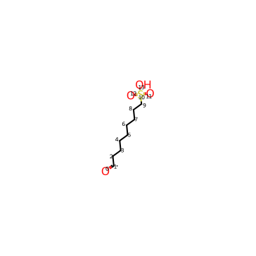 O=[C]CCCCCCCCS(=O)(=O)O